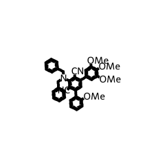 COc1ccccc1-c1cc(-c2cc(OC)c(OC)c(OC)c2)c(C#N)c(N(Cc2ccccc2)Cc2ccccc2)c1C#N